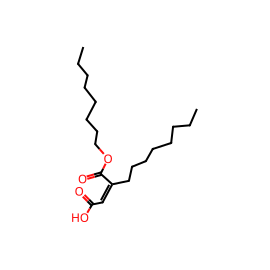 CCCCCCCCOC(=O)/C(=C\C(=O)O)CCCCCCCC